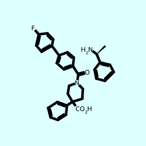 C[C@H](N)c1ccccc1.O=C(c1ccc(-c2ccc(F)cc2)cc1)N1CCC(C(=O)O)(c2ccccc2)CC1